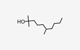 CCCCC(C)CCCC(C)(C)O